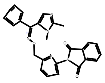 Cc1ncc(/C(=N\OCc2cccc(N3C(=O)c4ccccc4C3=O)n2)c2ccccc2)n1C